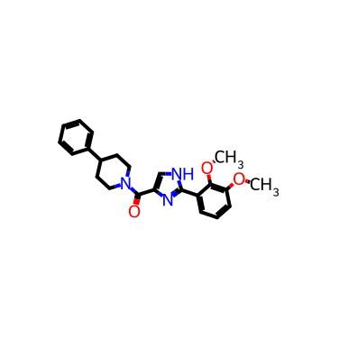 COc1cccc(-c2nc(C(=O)N3CCC(c4ccccc4)CC3)c[nH]2)c1OC